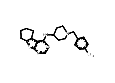 Cc1ccc(CN2CCC(Nc3ncnc4sc5c(c34)CCCC5)CC2)cc1